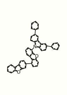 c1ccc(-c2ccc3c(c2)c2cc(-c4ccccc4)ccc2n3-c2cccc3c2oc2cccc(-c4ccc5c(c4)oc4ccccc45)c23)cc1